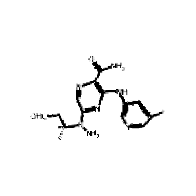 C[C@H](CC=O)N(N)c1cnc(C(N)=O)c(Nc2cncc(F)c2)n1